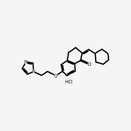 Cl.O=C1C(=CC2CCCCC2)CCc2cc(OCCn3ccnc3)ccc21